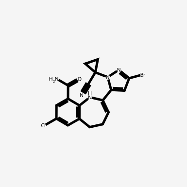 N#CC1(n2nc(Br)cc2C2=CCCc3cc(Cl)cc(C(N)=O)c3N2)CC1